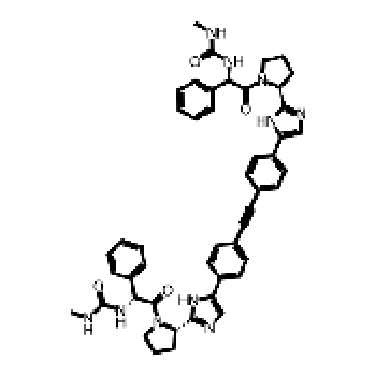 CNC(=O)N[C@@H](C(=O)N1CCC[C@H]1c1ncc(-c2ccc(C#Cc3ccc(-c4cnc([C@@H]5CCCN5C(=O)[C@H](NC(=O)NC)c5ccccc5)[nH]4)cc3)cc2)[nH]1)c1ccccc1